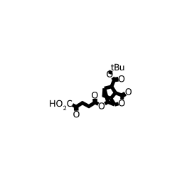 CC(C)(C)OC(=O)C1C2CC3C(OC(=O)C31)C2OC(=O)CCC(=O)C(=O)O